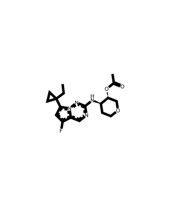 CCC1(c2cc(F)c3cnc(N[C@@H]4CCOC[C@H]4OC(C)=O)nn23)CC1